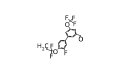 C=CC(F)(F)Oc1ccc(-c2cc(C=O)cc(OC(F)(F)F)c2)cc1F